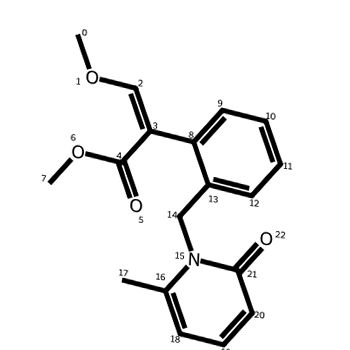 COC=C(C(=O)OC)c1ccccc1Cn1c(C)cccc1=O